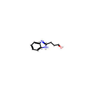 O=[C]CCc1nc2ccccc2[nH]1